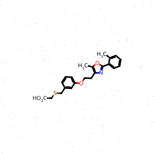 Cc1ccccc1-c1nc(CCOc2cccc(CSCC(=O)O)c2)c(C)o1